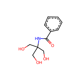 O=C(NC(CO)(CO)CO)c1ccccc1